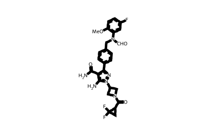 COc1ccc(F)cc1N(C=O)Cc1ccc(-c2nn(C3CN(C(=O)C4CC4(F)F)C3)c(N)c2C(N)=O)cc1